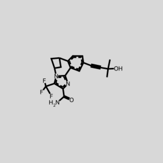 CC(C)(O)C#Cc1ccc2c(c1)-c1nc(C(N)=O)c(C(F)(F)F)n1C1CC2C1